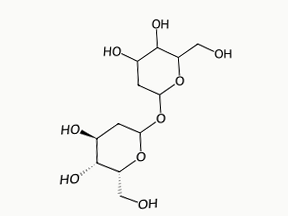 OCC1OC(OC2C[C@H](O)[C@@H](O)[C@@H](CO)O2)CC(O)C1O